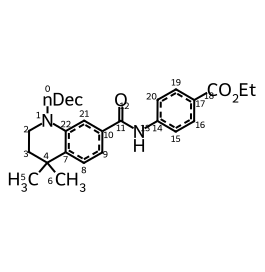 CCCCCCCCCCN1CCC(C)(C)c2ccc(C(=O)Nc3ccc(C(=O)OCC)cc3)cc21